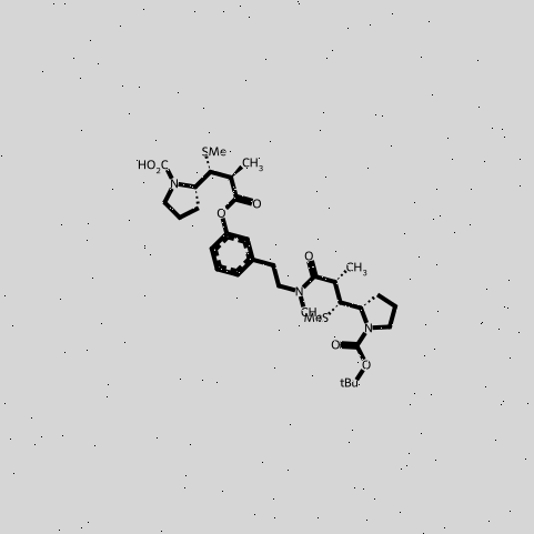 CS[C@H]([C@@H](C)C(=O)Oc1cccc(CCN(C)C(=O)[C@H](C)[C@@H](SC)[C@@H]2CCCN2C(=O)OC(C)(C)C)c1)[C@@H]1CCCN1C(=O)O